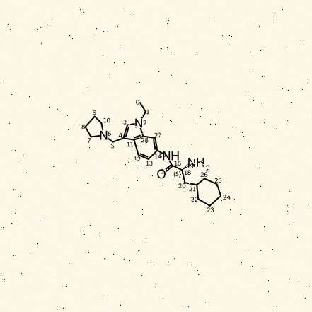 CCn1cc(CN2CCCC2)c2ccc(NC(=O)[C@@H](N)CC3CCCCC3)cc21